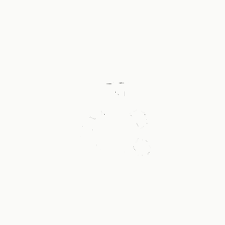 CCS(=O)(=O)NC1CCN2C(=O)C(C)(C)OCCCOc3ccccc3-c3cccc(c3)CC12